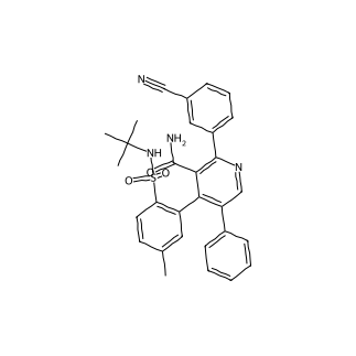 Cc1ccc(S(=O)(=O)NC(C)(C)C)c(-c2c(-c3ccccc3)cnc(-c3cccc(C#N)c3)c2C(N)=O)c1